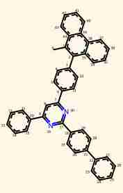 Cc1c(-c2ccc(-c3cc(-c4ccccc4)nc(-c4ccc(-c5ccccc5)cc4)n3)cc2)c2ccccc2c2ccccc12